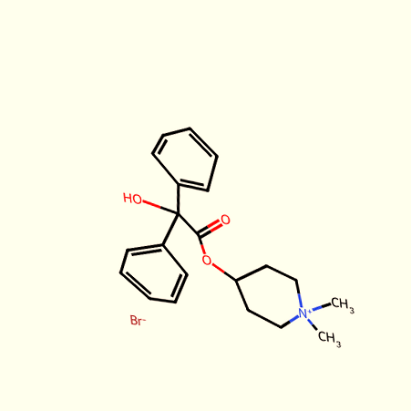 C[N+]1(C)CCC(OC(=O)C(O)(c2ccccc2)c2ccccc2)CC1.[Br-]